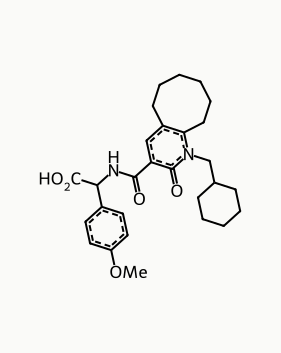 COc1ccc(C(NC(=O)c2cc3c(n(CC4CCCCC4)c2=O)CCCCCC3)C(=O)O)cc1